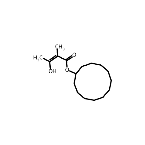 CC(O)=C(C)C(=O)OC1CCCCCCCCCCC1